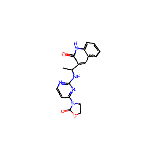 CC(Nc1nccc(N2CCOC2=O)n1)c1cc2ccccc2[nH]c1=O